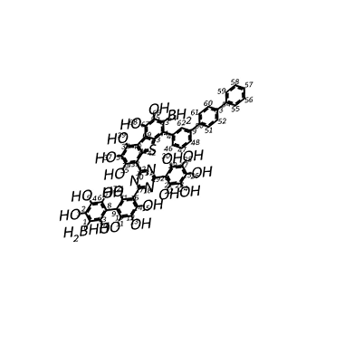 Bc1c(O)c(O)c(O)c(-c2c(O)c(O)c(O)c(-c3nc(-c4c(O)c(O)c(O)c(O)c4O)nc(-c4c(O)c(O)c(O)c5c4sc4c(-c6cccc(-c7ccc(-c8ccccc8)cc7)c6)c(B)c(O)c(O)c45)n3)c2O)c1O